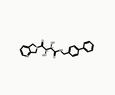 O=C(NCc1ccc(-c2ccccc2)cc1)[C@H](O)[C@@H](O)C(=O)N1Cc2cccnc2C1